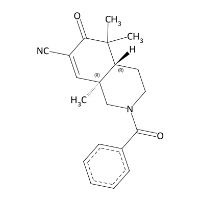 CC1(C)C(=O)C(C#N)=C[C@]2(C)CN(C(=O)c3ccccc3)CC[C@@H]12